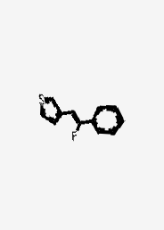 FC(=Cc1ccsc1)c1ccccc1